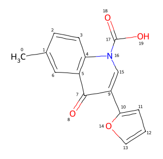 Cc1ccc2c(c1)c(=O)c(-c1ccco1)cn2C(=O)O